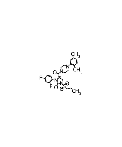 CCCS(=O)(=O)N1C[C@@H](C(=O)N2CCN(c3cc(C)ccc3C)CC2)N(c2ccc(F)cc2F)C1=O